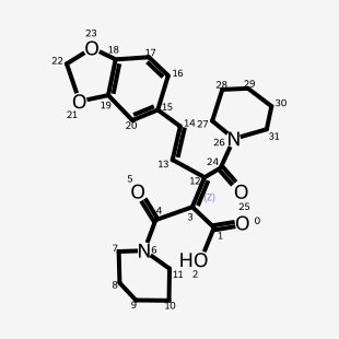 O=C(O)/C(C(=O)N1CCCCC1)=C(/C=Cc1ccc2c(c1)OCO2)C(=O)N1CCCCC1